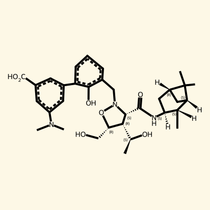 C[C@@H]1[C@@H](NC(=O)[C@@H]2[C@H]([C@H](C)O)[C@H](CO)ON2Cc2cccc(-c3cc(C(=O)O)cc(N(C)C)c3)c2O)C[C@H]2C[C@@H]1C2(C)C